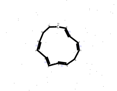 [C]1=C/C=C\C/C=C/C=C/C=C\CCC/1